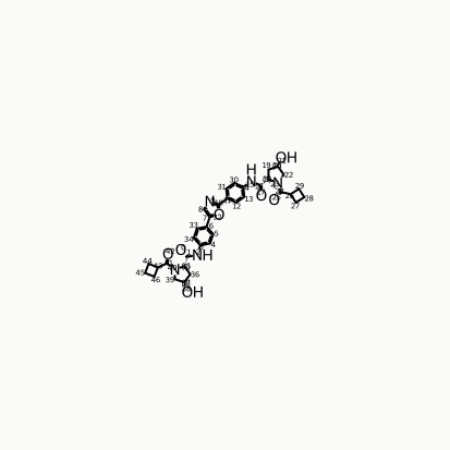 O=C(Nc1ccc(-c2cnc(-c3ccc(NC(=O)[C@@H]4C[C@@H](O)CN4C(=O)C4CCC4)cc3)o2)cc1)[C@@H]1C[C@@H](O)CN1C(=O)C1CCC1